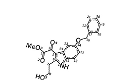 COC(=O)C(=O)c1c(CCO)[nH]c2ccc(OCc3ccccc3)cc12